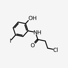 O=C(CCCl)Nc1cc(I)ccc1O